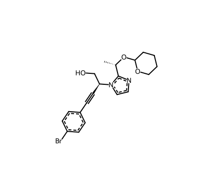 C[C@H](OC1CCCCO1)c1nccn1[C@@H](C#Cc1ccc(Br)cc1)CO